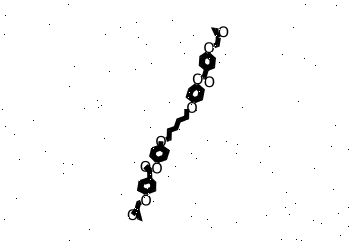 O=C(Oc1ccc(OCCCCCCOc2ccc(OC(=O)c3ccc(OCC4CO4)cc3)cc2)cc1)c1ccc(OCC2CO2)cc1